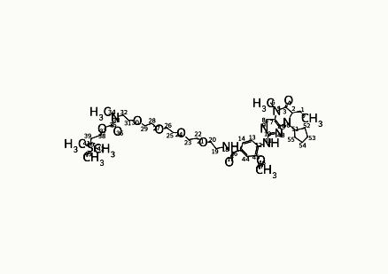 CC[C@@H]1C(=O)N(C)c2cnc(Nc3ccc(C(=O)NCCOCCOCCOCCOCCN(C)C(=O)OCC[Si](C)(C)C)cc3OC)nc2N1C1CCCC1